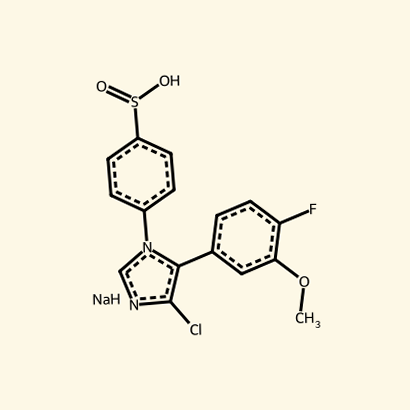 COc1cc(-c2c(Cl)ncn2-c2ccc(S(=O)O)cc2)ccc1F.[NaH]